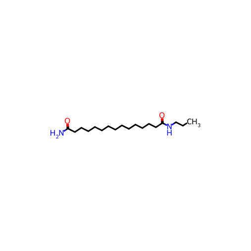 CCCNC(=O)CCCCCCCCCCCCCC(N)=O